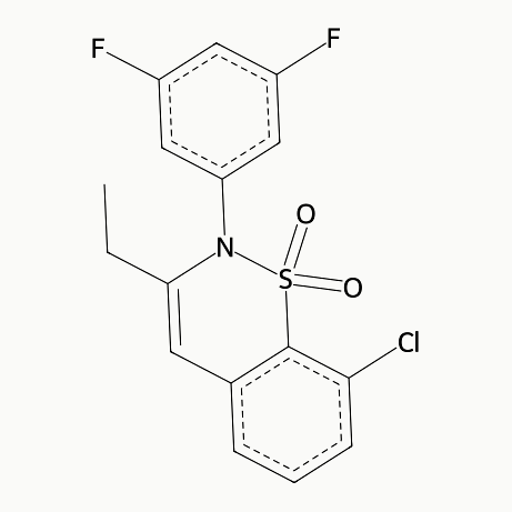 CCC1=Cc2cccc(Cl)c2S(=O)(=O)N1c1cc(F)cc(F)c1